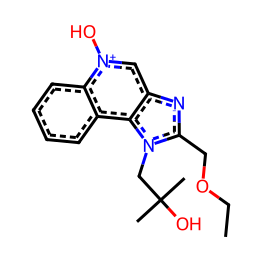 CCOCc1nc2c[n+](O)c3ccccc3c2n1CC(C)(C)O